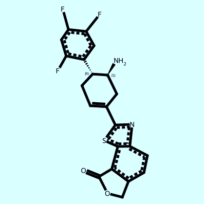 N[C@H]1CC(c2nc3ccc4c(c3s2)C(=O)OC4)=CC[C@@H]1c1cc(F)c(F)cc1F